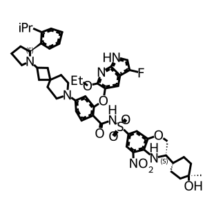 CCOc1nc2[nH]cc(F)c2cc1Oc1cc(N2CCC3(CC2)CC(N2CCC[C@H]2c2ccccc2C(C)C)C3)ccc1C(=O)NS(=O)(=O)c1cc2c(c([N+](=O)[O-])c1)N[C@@H]([C@H]1CC[C@](C)(O)CC1)CO2